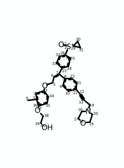 Cc1cc(OC/C=C(\c2ccc(C#CCN3CCOCC3)cc2)c2ccc([S+]([O-])C3CC3)cc2)ccc1OCCO